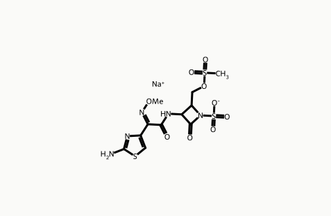 CON=C(C(=O)NC1C(=O)N(S(=O)(=O)[O-])C1COS(C)(=O)=O)c1csc(N)n1.[Na+]